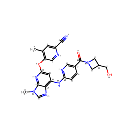 Cc1cc(C#N)ncc1Oc1cc(Nc2ccc(C(=O)N3CC(CO)C3)cn2)c2ncn(C)c2n1